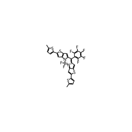 Cc1ccc(-c2cc3c(s2)=CC2=C(c4c(F)c(F)c(F)c(F)c4F)c4cc5sc(-c6ccc(C)s6)cc5n4[B-](F)(F)[N+]=32)s1